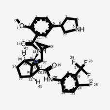 COc1ccc(C2CCNC2)cc1C(=O)N[C@H]1[C@@H](C(=O)Nc2ccc(F)c(C(F)(F)F)c2)[C@H]2CC[C@@H]1/C2=C\C1CC1